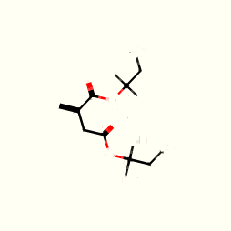 C=C(CC(=O)OC(CCC)(CCC)CC(C)C)C(=O)OC(CCC)(CCC)CC(C)C